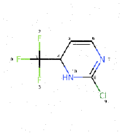 FC(F)(F)C1C=CN=C(Cl)N1